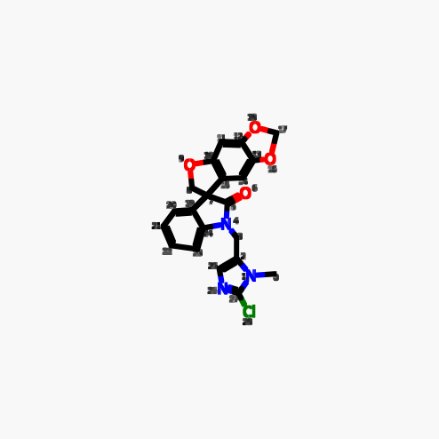 Cn1c(CN2C(=O)C3(COc4cc5c(cc43)OCO5)c3ccccc32)cnc1Cl